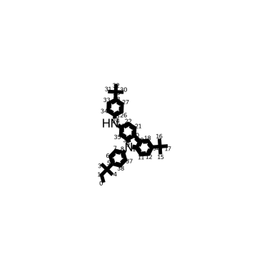 CCC(C)(C)c1ccc(-n2c3ccc(C(C)(C)C)cc3c3ccc(Nc4ccc(C(C)(C)C)cc4)cc32)cc1